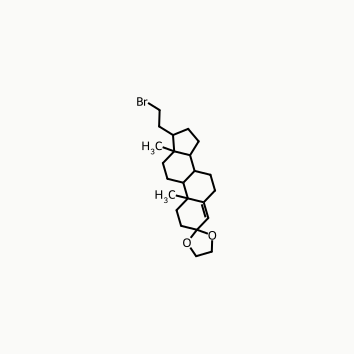 CC12CCC3(C=C1CCC1C2CCC2(C)C(CCBr)CCC12)OCCO3